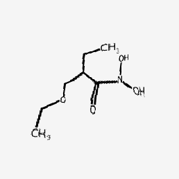 CCOCC(CC)C(=O)N(O)O